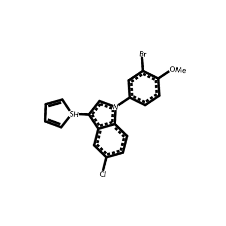 COc1ccc(-n2cc([SH]3C=CC=C3)c3cc(Cl)ccc32)cc1Br